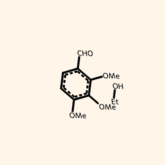 CCO.COc1ccc(C=O)c(OC)c1OC